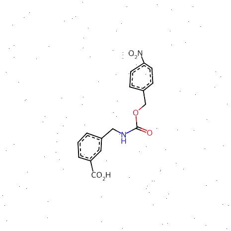 O=C(NCc1cccc(C(=O)O)c1)OCc1ccc([N+](=O)[O-])cc1